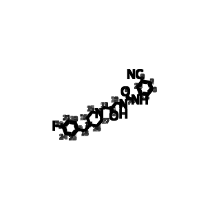 N#Cc1cccc(NC(=O)NCC(=O)CN2CCC(Cc3ccc(F)cc3)CC2)c1